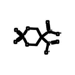 O=[N+]([O-])C1([N+](=O)[O-])COS(=O)(=O)OC1